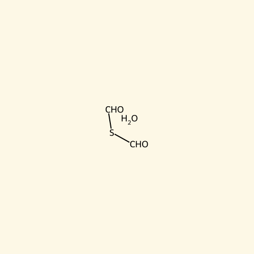 O.O=CSC=O